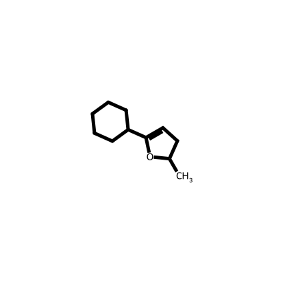 CC1CC=C(C2CCCCC2)O1